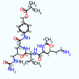 CC(=O)N[C@@H](CCCCN)C(=O)N[C@H](C(=O)N[C@@H](CCCNC(N)=O)C(=O)Nc1ccc(COC(=O)C(C)C)cc1)C(C)C